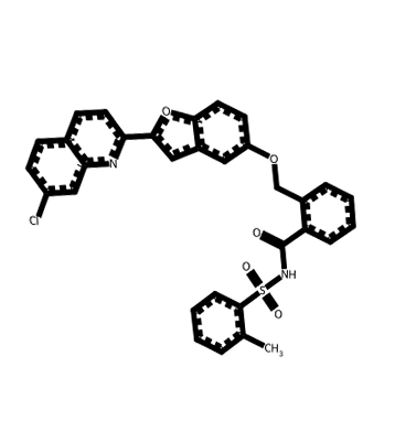 Cc1ccccc1S(=O)(=O)NC(=O)c1ccccc1COc1ccc2oc(-c3ccc4ccc(Cl)cc4n3)cc2c1